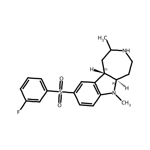 CC1C[C@H]2c3cc(S(=O)(=O)c4cccc(F)c4)ccc3N(C)[C@@H]2CCN1